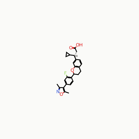 Cc1noc(C)c1-c1ccc(C2CCc3ccc([C@@H](CC(=O)O)C4CC4)cc3O2)c(F)c1